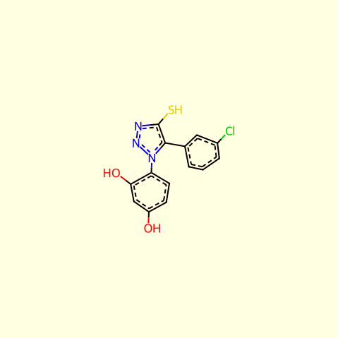 Oc1ccc(-n2nnc(S)c2-c2cccc(Cl)c2)c(O)c1